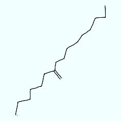 [CH2]CCCCCC(=C)CCCCCCCCC